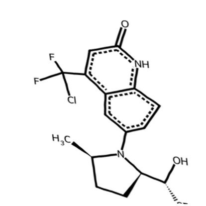 C[C@@H]1CC[C@H]([C@H](O)C(F)(F)F)N1c1ccc2[nH]c(=O)cc(C(F)(F)Cl)c2c1